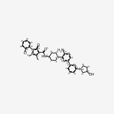 Cc1c(C(=O)NC2CCN(c3nc(-c4cccc(N5CCC(O)C5)n4)cnc3N)CC2)c(=O)n(-c2ccccc2Cl)n1C